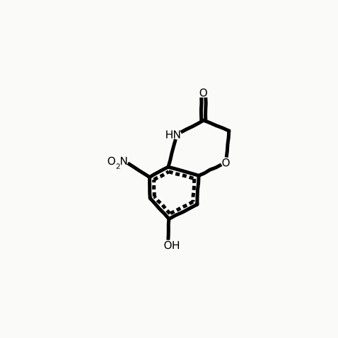 O=C1COc2cc(O)cc([N+](=O)[O-])c2N1